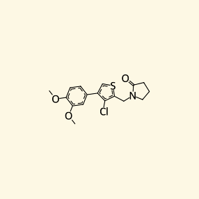 COc1ccc(-c2csc(CN3CCCC3=O)c2Cl)cc1OC